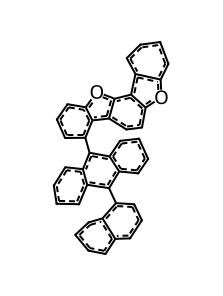 c1ccc2c(-c3c4ccccc4c(-c4cccc5oc6c(ccc7oc8ccccc8c76)c45)c4ccccc34)cccc2c1